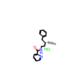 CN[C@H](CCNC(=O)c1ccccn1)Cc1ccccc1.Cl